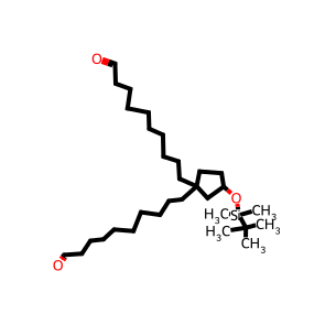 CC(C)(C)[Si](C)(C)OC1CCC(CCCCCCCCCC=O)(CCCCCCCCCC=O)C1